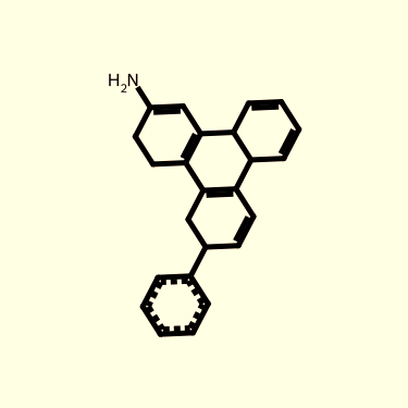 NC1=CC2=C(CC1)C1=C(C=CC(c3ccccc3)C1)C1C=CC=CC21